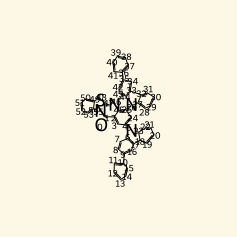 O=c1c2cc(N3c4ccc(-c5ccccc5)cc4C4C=CC=CC43)cc(-n3c4ccccc4c4cc(-c5ccccc5)ccc43)c2nc2sc3ccccc3n12